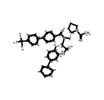 CC(=O)N1CCC[C@H]1CN(C(=O)c1ccc(-c2ccc(C(F)(F)F)cc2)cc1)[C@@H](Cc1ccc(-c2ccccc2)cc1)C(=O)O